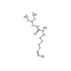 CC/C=C\CCCCOC(CC)C(=O)OCC(CO)CO